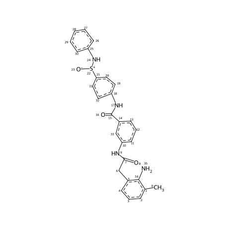 Cc1cccc(CC(=O)Nc2cccc(C(=O)Nc3ccc([S+]([O-])Nc4ccccc4)cc3)c2)c1N